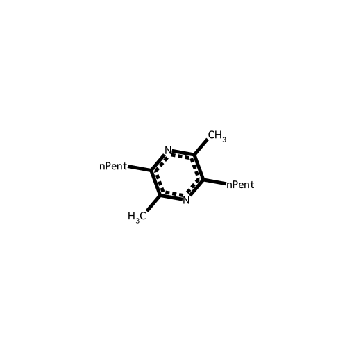 CCCCCc1nc(C)c(CCCCC)nc1C